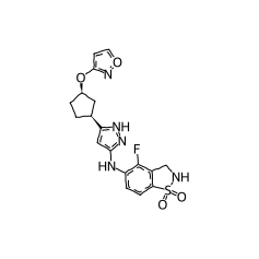 O=S1(=O)NCc2c1ccc(Nc1cc([C@H]3CC[C@@H](Oc4ccon4)C3)[nH]n1)c2F